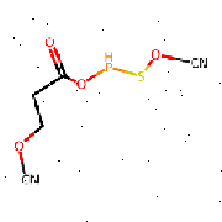 N#COCCC(=O)OPSOC#N